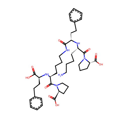 NCCCC[C@H](N[C@@H](CCc1ccccc1)C(=O)NCCCC[C@H](N[C@@H](CCc1ccccc1)C(=O)O)C(=O)N1CCC[C@H]1C(=O)O)C(=O)N1CCC[C@H]1C(=O)O